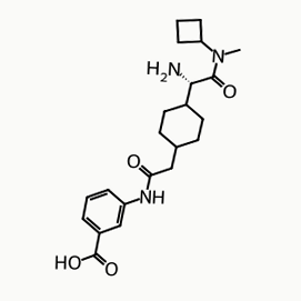 CN(C(=O)[C@@H](N)C1CCC(CC(=O)Nc2cccc(C(=O)O)c2)CC1)C1CCC1